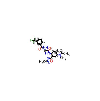 Cc1noc([C@@H]2C[C@H](N(C)C(C)C)CC[C@@H]2NC(=O)CNC(=O)c2cccc(C(F)(F)F)c2)n1